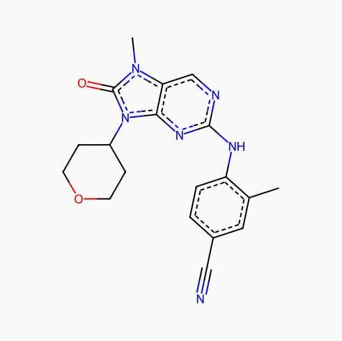 Cc1cc(C#N)ccc1Nc1ncc2c(n1)n(C1CCOCC1)c(=O)n2C